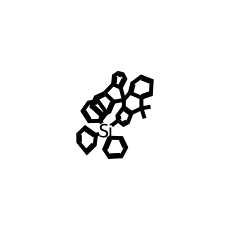 CC1(C)c2ccccc2C2(c3ccccc3-c3ccccc32)c2cc([Si](c3ccccc3)(c3ccccc3)c3ccccc3)ccc21